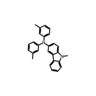 Cc1cccc(N(c2cccc(C)c2)c2ccc3c(c2)c2ccccc2n3C)c1